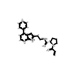 C=CC(=O)N1CCC[C@H]1C(=O)NCCc1cc2c(-c3ccncc3)ccnc2[nH]1